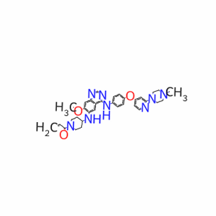 C=CC(=O)N1CCC(Nc2cc3c(Nc4ccc(Oc5ccnc(N6CCN(C)CC6)c5)cc4)ncnc3cc2OC)CC1